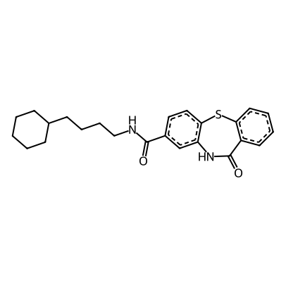 O=C(NCCCCC1CCCCC1)c1ccc2c(c1)NC(=O)c1ccccc1S2